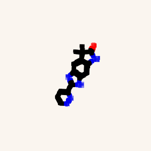 CC1(C)C(=O)Nc2cc3[nH]c(-c4cccnn4)nc3cc21